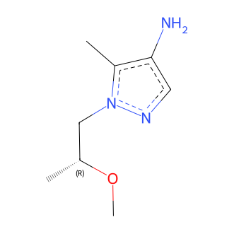 CO[C@H](C)Cn1ncc(N)c1C